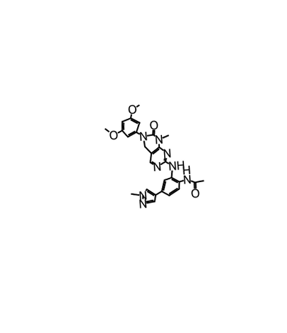 COc1cc(OC)cc(N2Cc3cnc(Nc4cc(-c5cnn(C)c5)ccc4NC(C)=O)nc3N(C)C2=O)c1